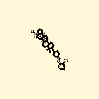 CCN[C@]12CCC[C@@H]1[C@H]1CCC3[C@@]4(C)CC=C(C5=CC[C@H](COc6ncccc6C#N)CC5)C(C)(C)C4CC[C@@]3(C)[C@]1(C)CC2